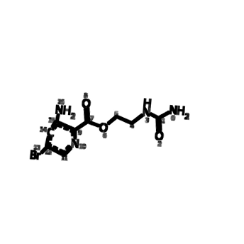 NC(=O)NCCOC(=O)c1ncc(Br)cc1N